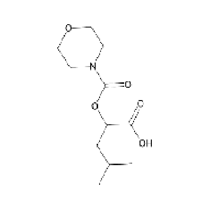 CC(C)CC(OC(=O)N1CCOCC1)C(=O)O